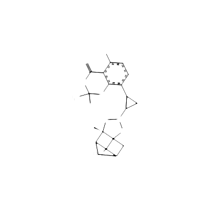 CC1(C)OC(=O)c2c(F)ccc(C3CC3B3OC45CC6CC(C64C)[C@]5(C)O3)c2O1